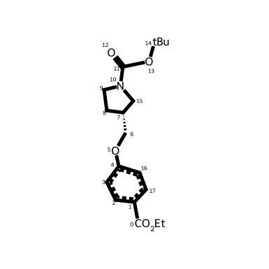 CCOC(=O)c1ccc(OC[C@@H]2CCN(C(=O)OC(C)(C)C)C2)cc1